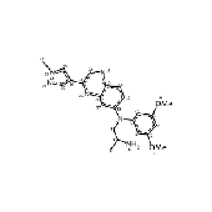 COc1cc(OC)cc(N(CC(C)N)c2ccc3ncc(-c4cnn(C)c4)nc3c2)c1